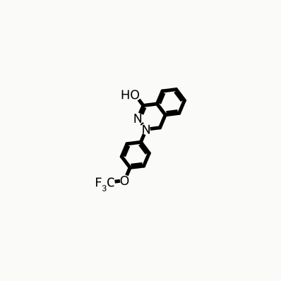 OC1=NN(c2ccc(OC(F)(F)F)cc2)Cc2ccccc21